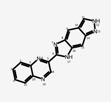 c1ccc2nc(-c3nc4cc5c[nH]nc5cc4[nH]3)cnc2c1